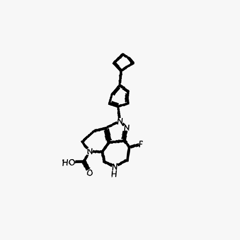 O=C(O)N1CCc2c3c(nn2-c2ccc(C4CCC4)cc2)C(F)CNCC31